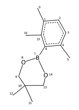 Cc1ccc(C)c(B2OCC(C)(C)CO2)c1C